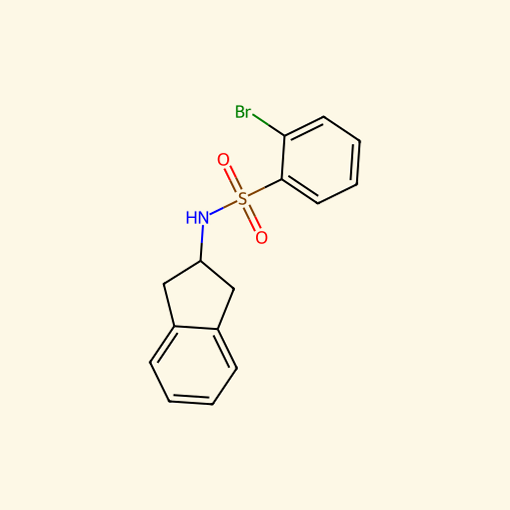 O=S(=O)(NC1Cc2ccccc2C1)c1ccccc1Br